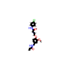 C=CC(=O)NCc1ccc(OC/C=C/C(=O)Nc2ccc(Cl)cc2)c(OC)c1